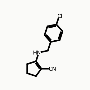 N#CC1=C(NCc2ccc(Cl)cc2)CCC1